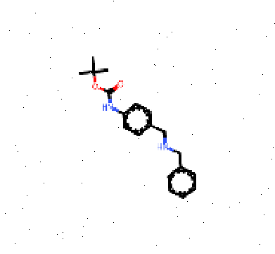 CC(C)(C)OC(=O)Nc1ccc(CNCc2ccccc2)cc1